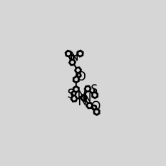 c1ccc(-n2c3ccccc3c3ccc(-c4ccc5oc6cc(-c7ccc8c(c7)sc7cccc(-c9nc(-c%10ccc%11c(c%10)oc%10ccccc%10%11)nc(-c%10cccc%11sc%12ccccc%12c%10%11)n9)c78)ccc6c5c4)cc32)cc1